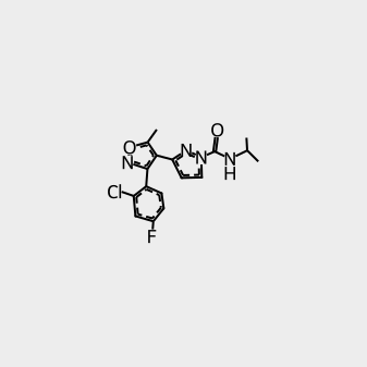 Cc1onc(-c2ccc(F)cc2Cl)c1-c1ccn(C(=O)NC(C)C)n1